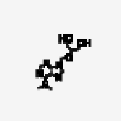 CN(C)c1ncnc2c1ncn2COC(CO)CO